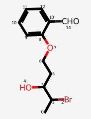 CC(Br)C(O)CCOc1ccccc1C=O